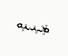 O=C(CSCC(=O)NC1CCCC1)NCCN1C(=O)[C@H]2CC[C@@H]1C2